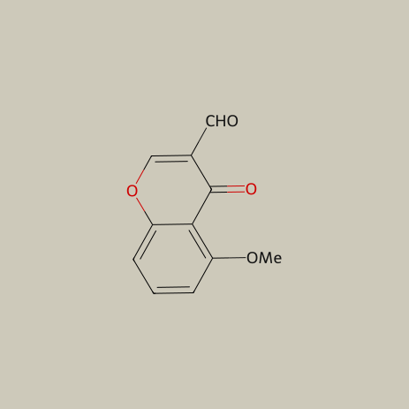 COc1cccc2occ(C=O)c(=O)c12